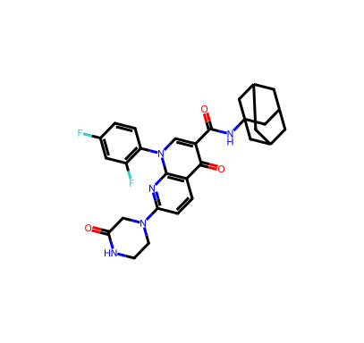 O=C1CN(c2ccc3c(=O)c(C(=O)NC45CC6CC(CC(C6)C4)C5)cn(-c4ccc(F)cc4F)c3n2)CCN1